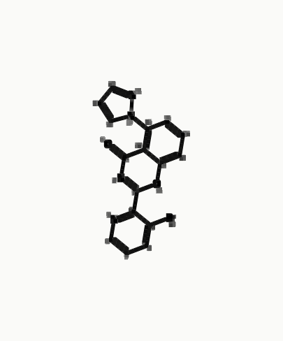 O=c1nc(-c2ncccc2Br)oc2cccc(-n3cccn3)c12